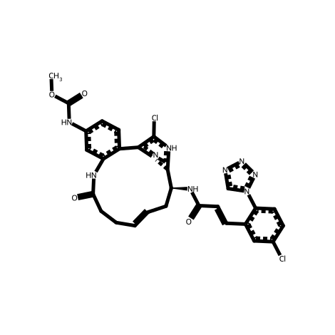 COC(=O)Nc1ccc2c(c1)NC(=O)CC/C=C/C[C@H](NC(=O)/C=C/c1cc(Cl)ccc1-n1cnnn1)c1nc-2c(Cl)[nH]1